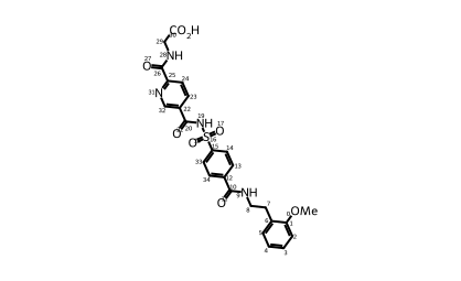 COc1ccccc1CCNC(=O)c1ccc(S(=O)(=O)NC(=O)c2ccc(C(=O)NCC(=O)O)nc2)cc1